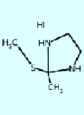 CSC1(C)NCCN1.I